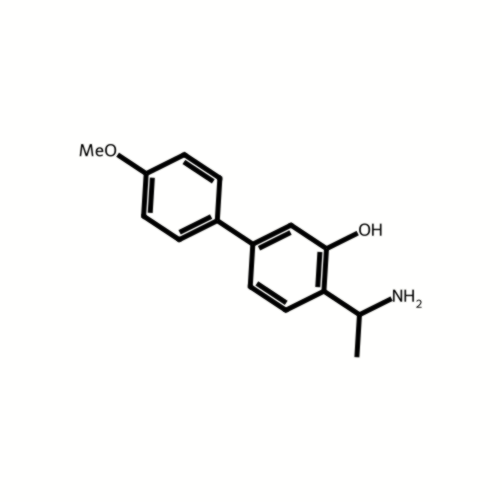 COc1ccc(-c2ccc(C(C)N)c(O)c2)cc1